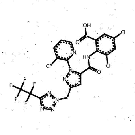 O=C(O)c1cc(Cl)cc(Cl)c1NC(=O)c1cc(Cn2nnc(C(F)(F)C(F)(F)F)n2)nn1-c1ncccc1Cl